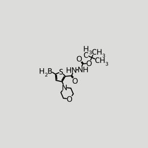 Bc1cc(N2CCOCC2)c(C(=O)NNC(=O)OC(C)(C)C)s1